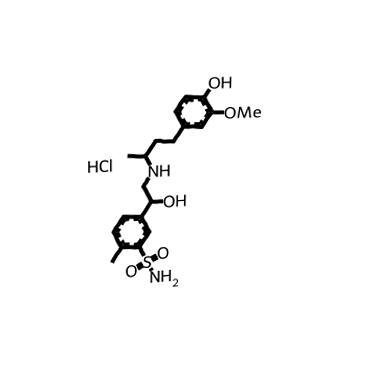 COc1cc(CCC(C)NCC(O)c2ccc(C)c(S(N)(=O)=O)c2)ccc1O.Cl